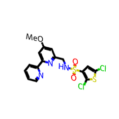 COc1cc(CNS(=O)(=O)c2cc(Cl)sc2Cl)nc(-c2ccccn2)c1